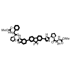 COC(=O)N[C@H](C(=O)N1CCC[C@H]1c1ncc(-c2ccc3c(c2)C(F)(F)c2cc(-c4ccc5nc([C@@H]6CCCN6C(=O)[C@H](NC(=O)OC)c6ccccc6)[nH]c5c4)ccc2-3)[nH]1)C(C)C